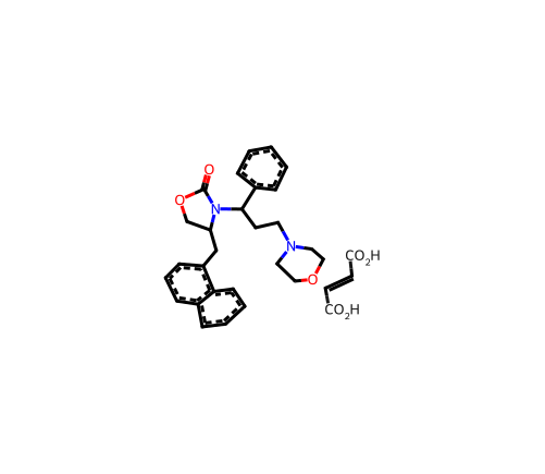 O=C(O)C=CC(=O)O.O=C1OCC(Cc2cccc3ccccc23)N1C(CCN1CCOCC1)c1ccccc1